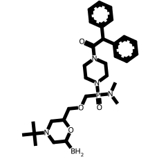 BC1CN(C(C)(C)C)CC(COCP(=O)(N(C)C)N2CCN(C(=O)C(c3ccccc3)c3ccccc3)CC2)O1